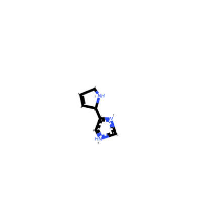 [c]1nc(C2C=CCN2)c[nH]1